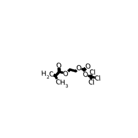 C=C(C)C(=O)OCCOC(=O)OC(Cl)(Cl)Cl